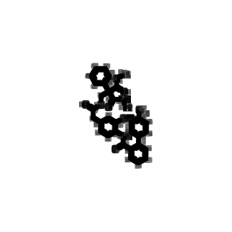 CCNC(=O)C(COC(=O)Cc1ccc(NC(=O)c2ccccc2-c2ccc(C(F)(F)F)cc2)c(OC)c1)(C(=O)NCC)c1ccccc1